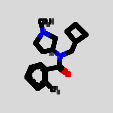 O=C(O)N1CC[C@H](N(CC2CCC2)C(=O)c2ccccc2C(F)(F)F)C1